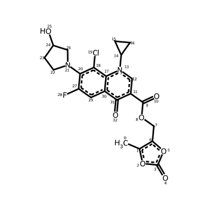 Cc1oc(=O)oc1COC(=O)c1cn(C2CC2)c2c(Cl)c(N3CCC(O)C3)c(F)cc2c1=O